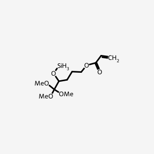 C=CC(=O)OCCCC(O[SiH3])C(OC)(OC)OC